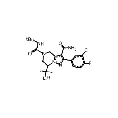 CC(C)(C)NC(=O)N1Cc2c(C(N)=O)c(-c3ccc(F)c(Cl)c3)nn2C(C(C)(C)O)C1